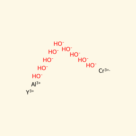 [Al+3].[Cr+3].[OH-].[OH-].[OH-].[OH-].[OH-].[OH-].[OH-].[OH-].[OH-].[Y+3]